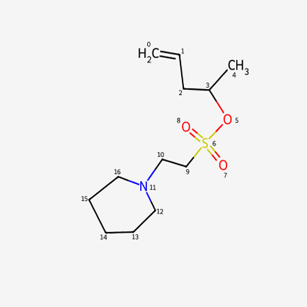 C=CCC(C)OS(=O)(=O)CCN1CCCCC1